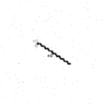 CCCCCCCCC[C@H](O)CCCCCCCC(=O)O